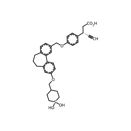 C#C[C@@H](CC(=O)O)c1ccc(OCc2ccc3c(c2)-c2ccc(OCC4CCS(O)(O)CC4)cc2CCC3)cc1